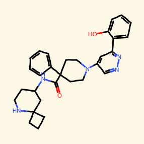 O=C(NC1CCNC2(CCC2)C1)C1(c2ccccc2)CCN(c2cnnc(-c3ccccc3O)c2)CC1